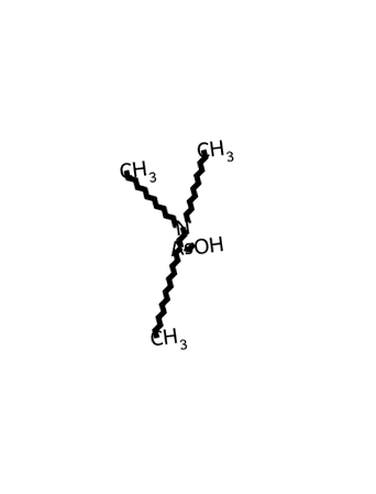 CCCCCCCCCCCCCC[As](CCO)CCN(CCCCCCCCCCCC)CCCCCCCCCCCC